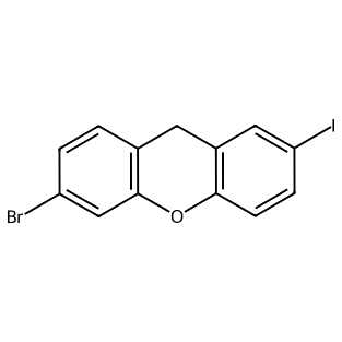 Brc1ccc2c(c1)Oc1ccc(I)cc1C2